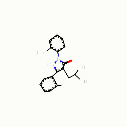 Cc1ccccc1-c1[nH]n(-c2ccccc2C)c(=O)c1CC(C)C